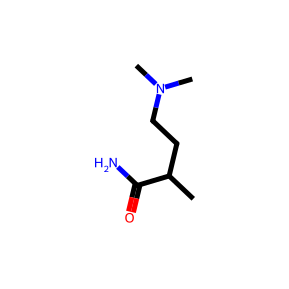 CC(CCN(C)C)C(N)=O